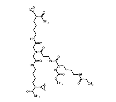 CCC(=O)NCCCC[C@H](NC(=O)OC)C(=O)NCCC(=O)N(CC(=O)NCCCCC(C(N)=O)C1SS1)CC(=O)NCCCCC(C(N)=O)C1SS1